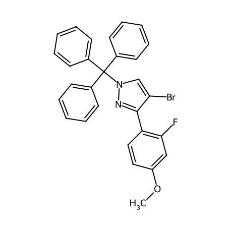 COc1ccc(-c2nn(C(c3ccccc3)(c3ccccc3)c3ccccc3)cc2Br)c(F)c1